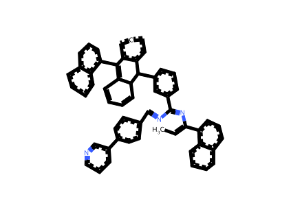 C\C=C(/N=C(\N=C\c1ccc(-c2cccnc2)cc1)c1cccc(C2c3ccccc3C(c3cccc4ccccc34)=C3C=CC=CC32)c1)c1cccc2ccccc12